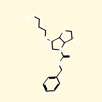 CCCCO[C@@H]1CN(C(=O)OCc2ccccc2)[C@H]2C1OC[C@@H]2O